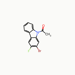 CC(=O)n1c2ccccc2c2cc(F)c(Br)cc21